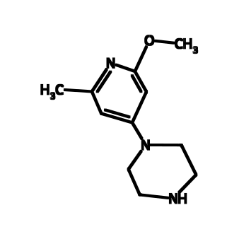 COc1cc(N2CCNCC2)cc(C)n1